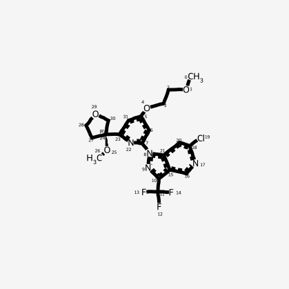 COCCOc1cc(-n2nc(C(F)(F)F)c3cnc(Cl)cc32)nc([C@]2(OC)CCOC2)c1